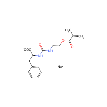 C=C(C)C(=O)OCCNC(=O)NC(Cc1ccccc1)C(=O)[O-].[Na+]